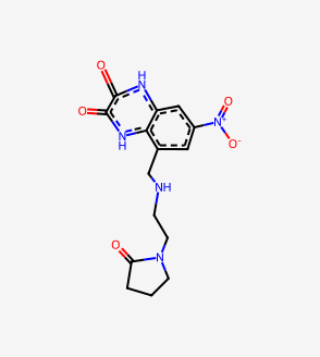 O=C1CCCN1CCNCc1cc([N+](=O)[O-])cc2[nH]c(=O)c(=O)[nH]c12